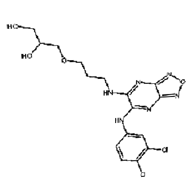 OCC(O)COCCCNc1nc2nonc2nc1Nc1ccc(Cl)c(Cl)c1